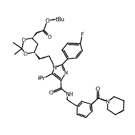 CC(C)c1c(C(=O)NCc2cccc(C(=O)N3CCCCC3)c2)nc(-c2ccc(F)cc2)n1CC[C@@H]1C[C@H](CC(=O)OC(C)(C)C)OC(C)(C)O1